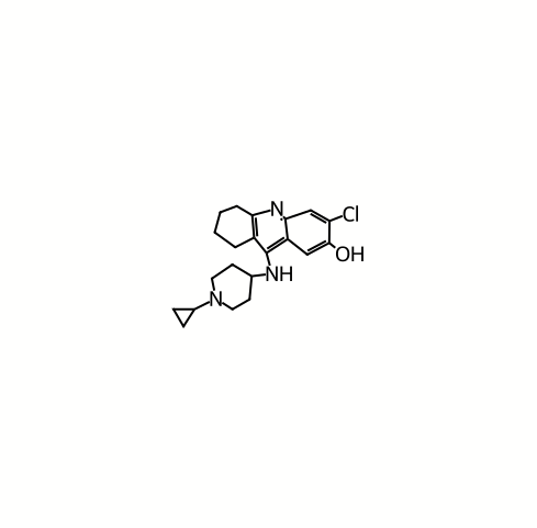 Oc1cc2c(NC3CCN(C4CC4)CC3)c3c(nc2cc1Cl)CCCC3